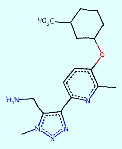 Cc1nc(-c2nnn(C)c2CN)ccc1OC1CCCC(C(=O)O)C1